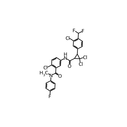 CN(C(=O)c1cc(NC(=O)C2C(c3ccc(C(F)F)c(Cl)c3)C2(Cl)Cl)ccc1Cl)c1ccc(F)cc1